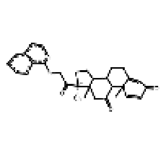 CC12C=CC(=O)C=C1CCC1C2C(=O)CC2(C)C1CC[C@]2(O)C(=O)CSc1nccc2ccccc12